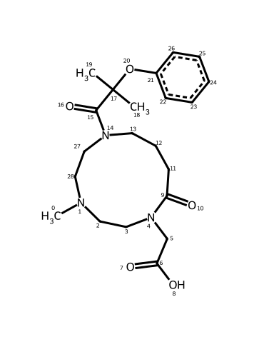 CN1CCN(CC(=O)O)C(=O)CCCN(C(=O)C(C)(C)Oc2ccccc2)CC1